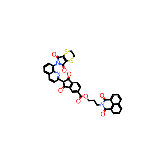 O=C(OCCCN1C(=O)c2cccc3cccc(c23)C1=O)c1ccc2c(c1)C(=O)C(c1ccc3cccc(N4C(=O)C5=C(SCCS5)C4=O)c3n1)C2=O